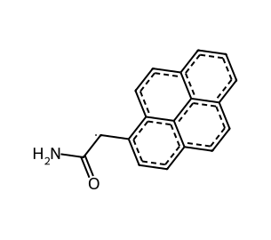 NC(=O)[CH]c1ccc2ccc3cccc4ccc1c2c34